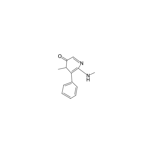 CNC1=C(c2ccccc2)C(C)C(=O)C=N1